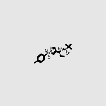 CC[C@H](N[S+]([O-])C(C)(C)C)c1cnn(S(=O)(=O)c2ccc(C)cc2)c1